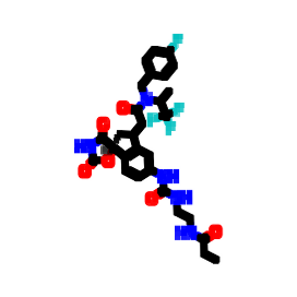 CCC(=O)NCCNC(=O)Nc1ccc2c(c1)C(CC(=O)N(Cc1ccc(F)cc1)C(C)C(F)(F)F)C[C@@]21OC(=O)NC1=O